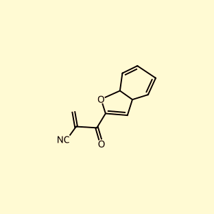 C=C(C#N)C(=O)C1=CC2C=CC=CC2O1